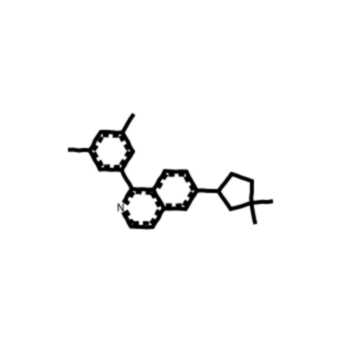 Cc1cc(C)cc(-c2nccc3cc(C4CCC(C)(C)C4)ccc23)c1